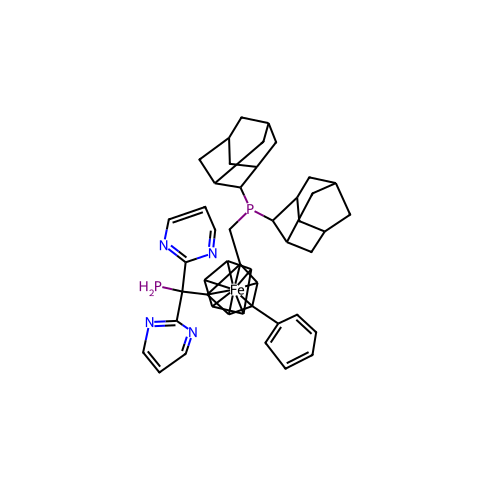 PC(c1ncccn1)(c1ncccn1)[C]12[CH]3[C]4(c5ccccc5)[CH]5[C]1(CP(C1C6CC7CC(C6)CC1C7)C1C6CC7CC(C6)CC1C7)[Fe]53421678[CH]2[CH]1[CH]6[CH]7[CH]28